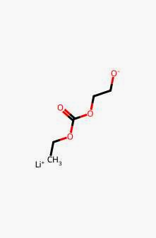 CCOC(=O)OCC[O-].[Li+]